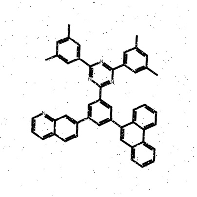 Cc1cc(C)cc(-c2nc(-c3cc(C)cc(C)c3)nc(-c3cc(-c4ccc5cccnc5c4)cc(-c4cc5ccccc5c5ccccc45)c3)n2)c1